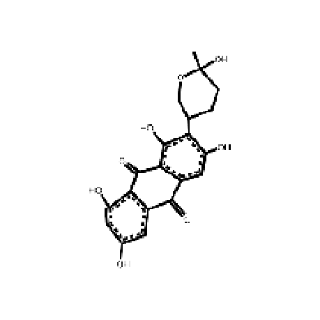 CC1(O)CCC(c2c(O)cc3c(c2O)C(=O)c2c(O)cc(O)cc2C3=O)CO1